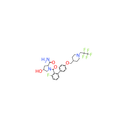 NC(=O)C1CC(O)CN1C(=O)c1c(F)cccc1-c1ccc(OCC2CCN(CC(F)(F)C(F)(F)F)CC2)cc1